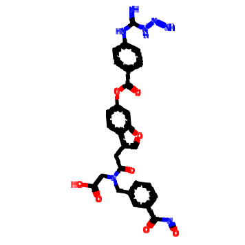 N=NNC(=N)Nc1ccc(C(=O)Oc2ccc3c(CC(=O)N(CC(=O)O)Cc4cccc(C(=O)N=O)c4)coc3c2)cc1